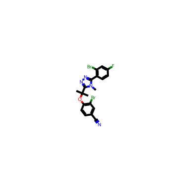 Cn1c(-c2ccc(F)cc2Br)nnc1C(C)(C)Oc1ccc(C#N)cc1Br